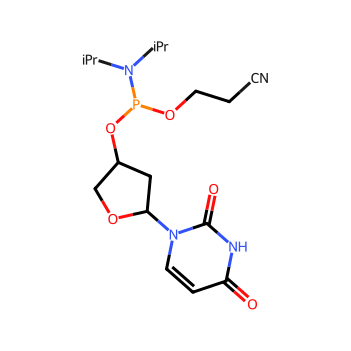 CC(C)N(C(C)C)P(OCCC#N)OC1COC(n2ccc(=O)[nH]c2=O)C1